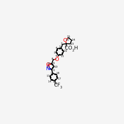 O=C(O)C1(Cc2ccc(OCc3cc(-c4ccc(C(F)(F)F)cc4)no3)cc2)CCCO1